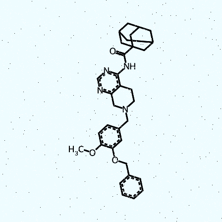 COc1ccc(CN2CCc3c(ncnc3NC(=O)C34CC5CC(CC(C5)C3)C4)C2)cc1OCc1ccccc1